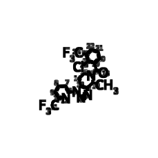 CC1c2nnn(-c3cccc(C(F)(F)F)n3)c2CCN1C(=O)c1cccc(C(F)(F)F)c1Cl